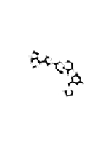 C[C@@H]1CCCN1Cc1cc(F)cc(OC2CCN(CC(CC#N)n3cc(-c4ncnc5[nH]ccc45)cn3)CC2F)c1